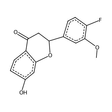 COc1cc(C2CC(=O)c3ccc(O)cc3O2)ccc1F